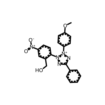 COc1ccc(-[n+]2nc(-c3ccccc3)nn2-c2ccc([N+](=O)[O-])cc2CO)cc1